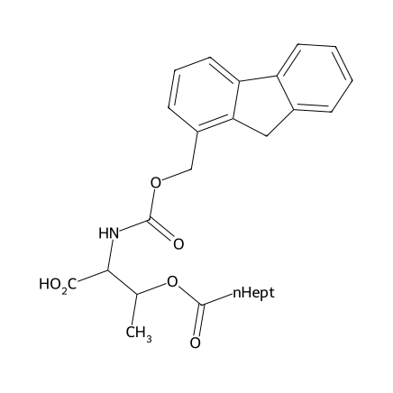 CCCCCCCC(=O)OC(C)C(NC(=O)OCc1cccc2c1Cc1ccccc1-2)C(=O)O